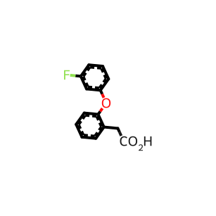 O=C(O)Cc1ccccc1Oc1cccc(F)c1